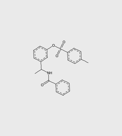 Cc1ccc(S(=O)(=O)Oc2cccc(C(C)NC(=O)c3ccccc3)c2)cc1